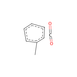 Cc1ccccc1.O=C=O